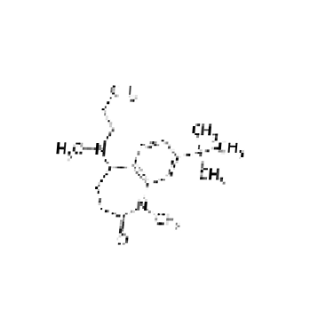 CCCN(C)C1CCC(=O)N(C)c2cc(C(C)(C)C)ccc21